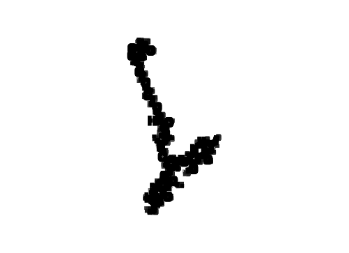 C/C=C1\C[C@H]2C=Nc3cc(OCc4cc(OCCN(C)CC(C)(C)SCC(=O)NCCOCCOCCOCCOCCC(=O)ON5C(=O)CCC5=O)cc(COc5cc6c(cc5OC)C(=O)N5C/C(=C/C)C[C@H]5C=N6)n4)c(OC)cc3C(=O)N2C1